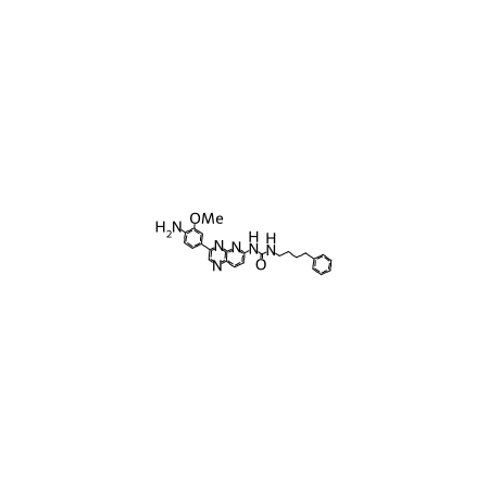 COc1cc(-c2cnc3ccc(NC(=O)NCCCCc4ccccc4)nc3n2)ccc1N